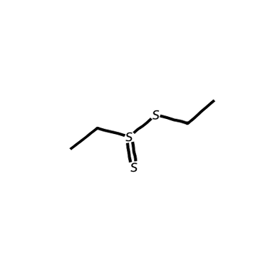 CCSS(=S)CC